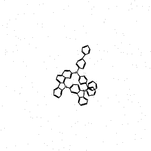 c1ccc(-c2ccc(N(c3ccc(-c4ccccc4)cc3)c3ccc4ccc5c6ccccc6n(-c6ccc7c(c6)c6ccccc6n7-c6ccccc6)c5c4c3)cc2)cc1